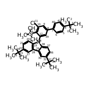 CC(C)(C)c1ccc(-c2cc(Cl)c([Si](C)(C)C)c(-n3c4ccc(C(C)(C)C)cc4c4cc(C(C)(C)C)ccc43)c2)cc1